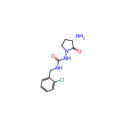 N[C@H]1CCN(NC(=O)NCc2ccccc2Cl)C1=O